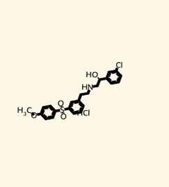 COc1ccc(S(=O)(=O)c2cccc(CCNC[C@H](O)c3cccc(Cl)c3)c2)cc1.Cl